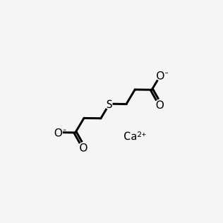 O=C([O-])CCSCCC(=O)[O-].[Ca+2]